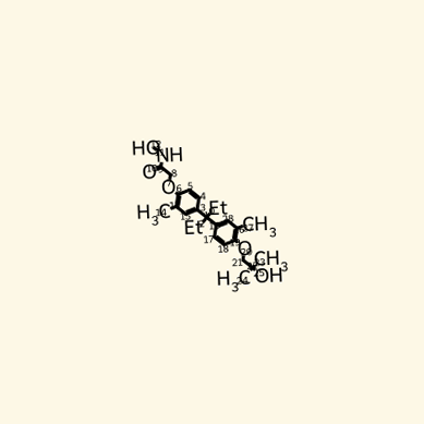 CCC(CC)(c1ccc(OCC(=O)NO)c(C)c1)c1ccc(OCC(C)(C)O)c(C)c1